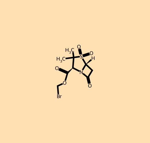 CC1(C)[C@H](C(=O)OCBr)N2C(=O)C[C@H]2S1(=O)=O